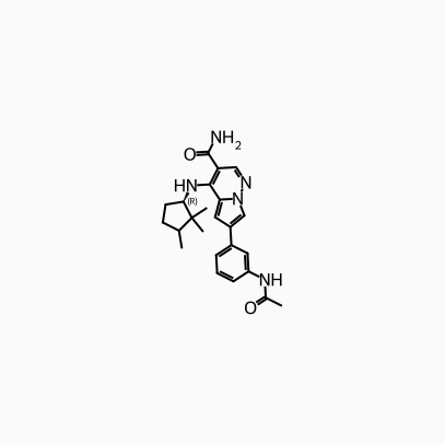 CC(=O)Nc1cccc(-c2cc3c(N[C@@H]4CCC(C)C4(C)C)c(C(N)=O)cnn3c2)c1